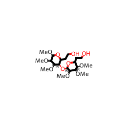 COC1[C@@H](O[C@@H]2C(CCO)O[C@@H](OC)C(OC)[C@@H]2OC)OC(CCO)[C@@H](OC)[C@H]1OC